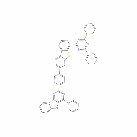 c1ccc(-c2nc(-c3ccccc3)nc(-c3cccc4c3sc3cc(-c5ccc(-c6nc(-c7ccccc7)c7oc8ccccc8c7n6)cc5)ccc34)n2)cc1